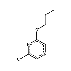 CCCOc1cncc(Cl)n1